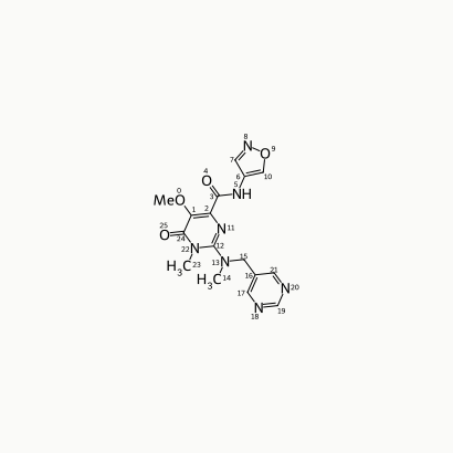 COc1c(C(=O)Nc2cnoc2)nc(N(C)Cc2cncnc2)n(C)c1=O